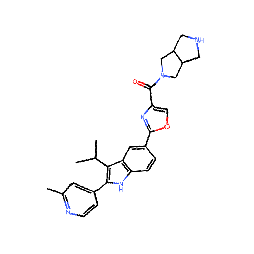 Cc1cc(-c2[nH]c3ccc(-c4nc(C(=O)N5CC6CNCC6C5)co4)cc3c2C(C)C)ccn1